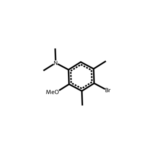 COc1c(N(C)C)cc(C)c(Br)c1C